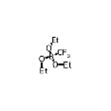 CCO[B-](OCC)(OCC)C(F)(F)F